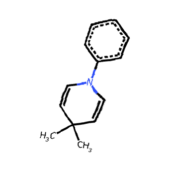 CC1(C)C=CN(c2ccccc2)C=C1